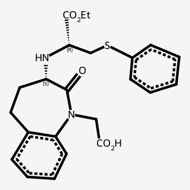 CCOC(=O)[C@H](CSc1ccccc1)N[C@H]1CCc2ccccc2N(CC(=O)O)C1=O